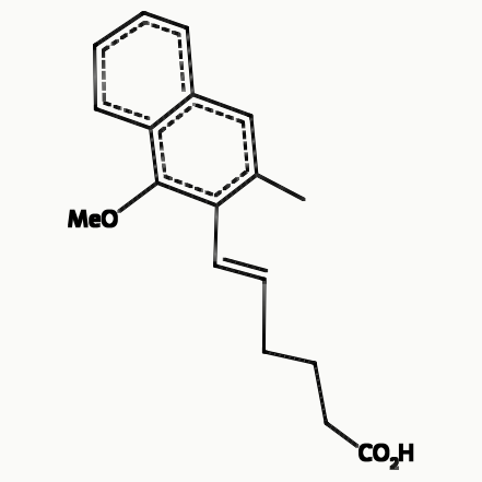 COc1c(C=CCCCC(=O)O)c(C)cc2ccccc12